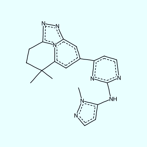 Cn1nccc1Nc1nccc(-c2cc3n4c(nnc4c2)CCC3(C)C)n1